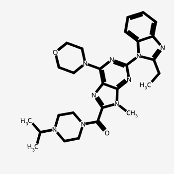 CCc1nc2ccccc2n1-c1nc(N2CCOCC2)c2nc(C(=O)N3CCN(C(C)C)CC3)n(C)c2n1